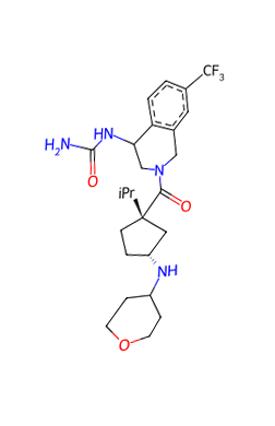 CC(C)[C@]1(C(=O)N2Cc3cc(C(F)(F)F)ccc3C(NC(N)=O)C2)CC[C@@H](NC2CCOCC2)C1